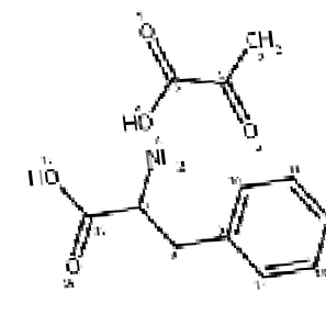 CC(=O)C(=O)O.NC(Cc1ccccc1)C(=O)O